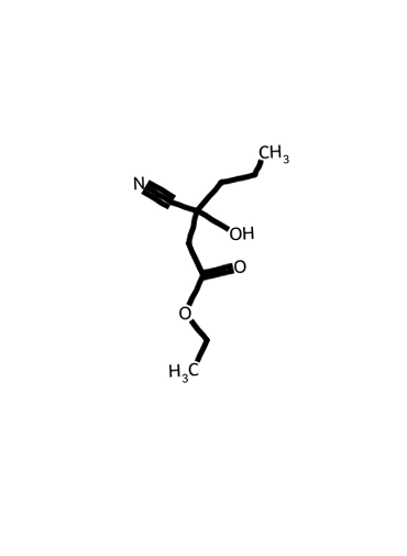 CCCC(O)(C#N)CC(=O)OCC